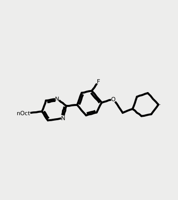 CCCCCCCCc1cnc(-c2ccc(OCC3CC[CH]CC3)c(F)c2)nc1